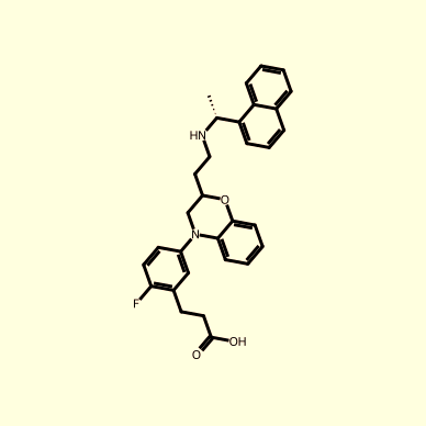 C[C@@H](NCCC1CN(c2ccc(F)c(CCC(=O)O)c2)c2ccccc2O1)c1cccc2ccccc12